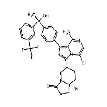 C[C@@](O)(c1ccc(-c2nc([C@@H]3CC[C@H]4CCC(=O)N4C3)n3c(Cl)cnc(N)c23)cc1)c1cccc(C(F)(F)F)c1